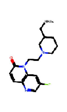 CC(=O)NCC1CCCN(CCn2c(=O)ccc3ncc(F)cc32)C1